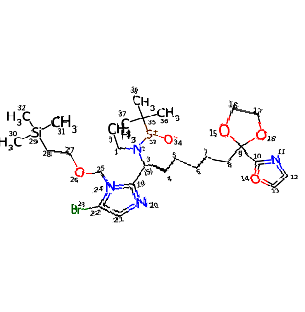 CCN([C@@H](CCCCCC1(c2ncco2)OCCO1)c1ncc(Br)n1COCC[Si](C)(C)C)[S+]([O-])C(C)(C)C